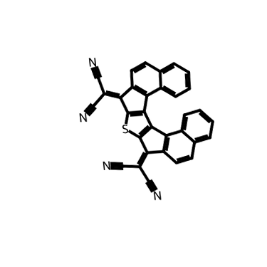 N#CC(C#N)=C1c2ccc3ccccc3c2-c2c1sc1c2-c2c(ccc3ccccc23)C1=C(C#N)C#N